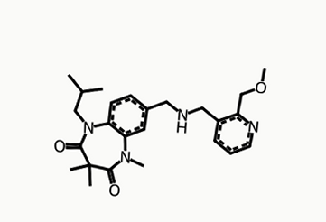 COCc1ncccc1CNCc1ccc2c(c1)N(C)C(=O)C(C)(C)C(=O)N2CC(C)C